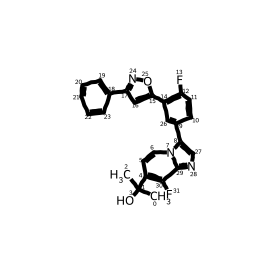 CC(C)(O)c1ccn2c(-c3ccc(F)c(-c4cc(-c5ccccc5)no4)c3)cnc2c1F